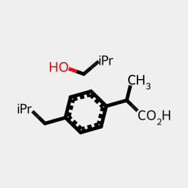 CC(C)CO.CC(C)Cc1ccc(C(C)C(=O)O)cc1